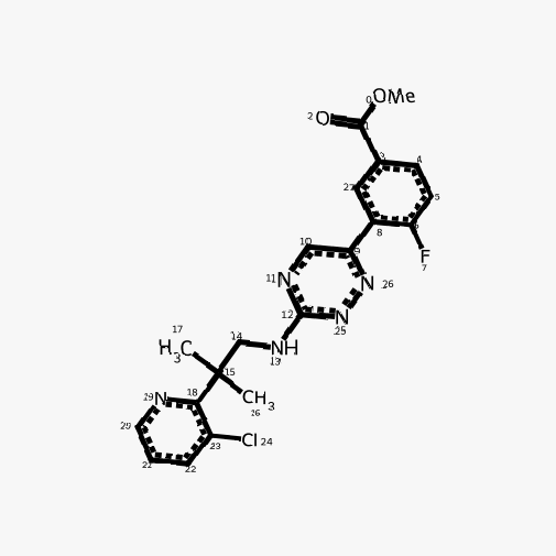 COC(=O)c1ccc(F)c(-c2cnc(NCC(C)(C)c3ncccc3Cl)nn2)c1